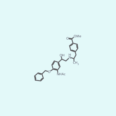 COC(=O)c1ccc(CC(C)NCC(O)c2ccc(OCc3ccccc3)c(NC(C)=O)c2)cc1